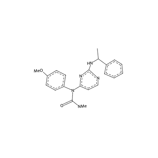 CNC(=O)N(c1ccc(OC)cc1)c1ccnc(NC(C)c2ccccc2)n1